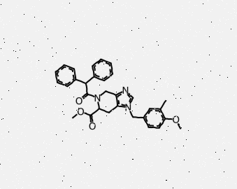 COC(=O)C1Cc2c(ncn2Cc2ccc(OC)c(C)c2)CN1C(=O)C(c1ccccc1)c1ccccc1